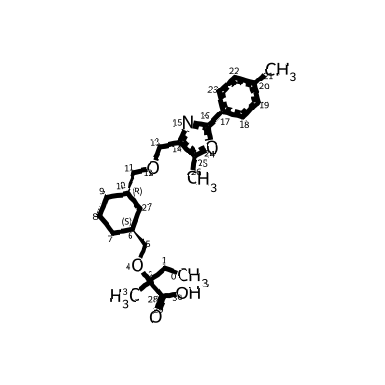 CCC(C)(OC[C@H]1CCC[C@@H](COCc2nc(-c3ccc(C)cc3)oc2C)C1)C(=O)O